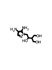 Nc1cnn(CC(O)C(CO)CO)c1N